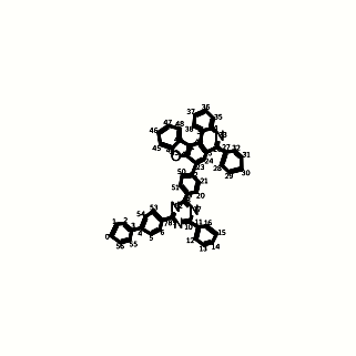 c1ccc(-c2ccc(-c3nc(-c4ccccc4)nc(-c4ccc(-c5cc6c(-c7ccccc7)nc7ccccc7c6c6c5oc5ccccc56)cc4)n3)cc2)cc1